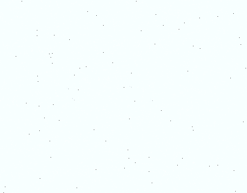 Fc1ccc(N2CCN(CCCc3cnn4c3CCCC4)CC2)cc1